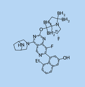 BC1(B)CCC2(C(B)(B)Oc3nc(N4CC5CCC(C4)N5)c4cnc(-c5cc(O)cc6cccc(CC)c56)c(F)c4n3)C[C@@H](F)CN12